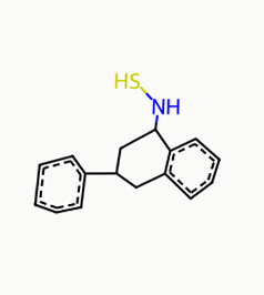 SNC1CC(c2ccccc2)Cc2ccccc21